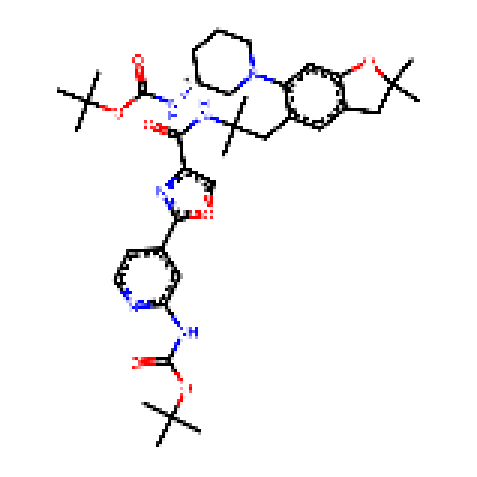 CC(C)(Cc1cc2c(cc1N1CCC[C@@H](NC(=O)OC(C)(C)C)C1)OC(C)(C)C2)NC(=O)c1coc(-c2ccnc(NC(=O)OC(C)(C)C)c2)n1